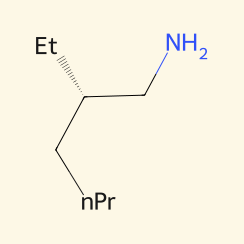 CCCC[C@H](CC)CN